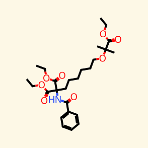 CCOC(=O)C(C)(C)OCCCCCCC(NC(=O)c1ccccc1)(C(=O)OCC)C(=O)OCC